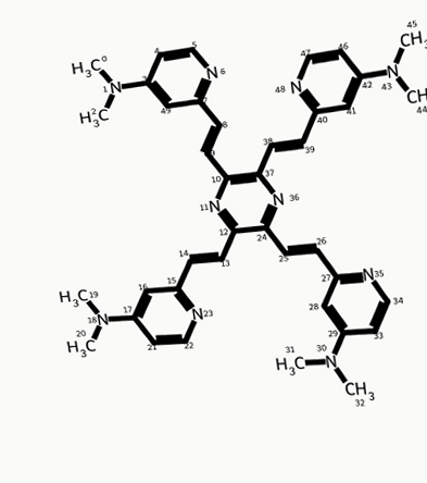 CN(C)c1ccnc(C=Cc2nc(C=Cc3cc(N(C)C)ccn3)c(C=Cc3cc(N(C)C)ccn3)nc2C=Cc2cc(N(C)C)ccn2)c1